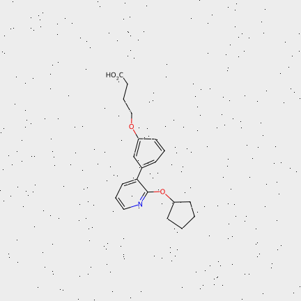 O=C(O)CCCOc1cccc(-c2cccnc2OC2CCCC2)c1